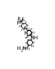 Cc1nc(N2CCC(C(F)(F)F)CC2)ccc1NC1CCC(CN)CC1